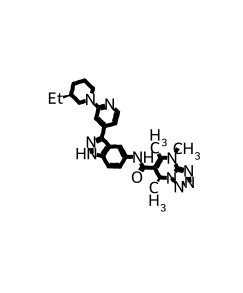 CC[C@H]1CCCN(c2cc(-c3n[nH]c4ccc(NC(=O)C5=C(C)N(C)c6nnnn6[C@H]5C)cc34)ccn2)C1